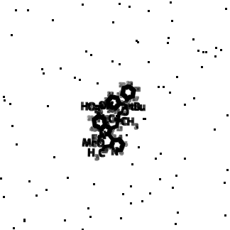 CCn1c(-c2cccnc2C(C)OC)c(CC(C)(C)CO[Si](c2ccccc2)(c2ccccc2)C(C)(C)C)c2cc(B(O)O)ccc21